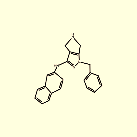 c1ccc(Cn2nc(Nc3cc4ccccc4cn3)c3c2CNC3)cc1